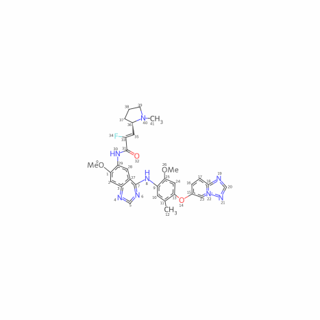 COc1cc2ncnc(Nc3cc(C)c(Oc4ccc5ncnn5c4)cc3OC)c2cc1NC(=O)/C(F)=C/[C@H]1CCCN1C